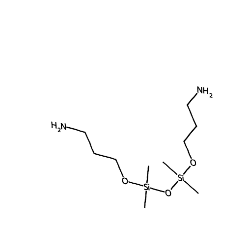 C[Si](C)(OCCCN)O[Si](C)(C)OCCCN